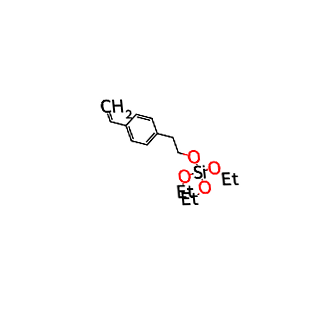 C=Cc1ccc(CCO[Si](OCC)(OCC)OCC)cc1